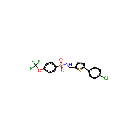 O=S(=O)(NCc1ccc(-c2ccc(Cl)cc2)s1)c1ccc(OC(F)(F)F)cc1